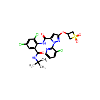 CC(C)(C)NC(=O)c1cc(Cl)cc(Cl)c1NC(=O)c1cc(OC2CS(=O)(=O)C2)nn1-c1ncccc1Cl